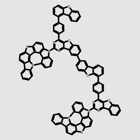 c1ccc2c(c1)oc1c(-c3ccc(-c4cccc5c4oc4ccc(-c6ccc7oc8c(-c9ccc(-c%10cccc%11oc%12ccccc%12c%10%11)cc9)nc(-n9c%10ccc%11sc%12ccc%13c%14ccccc%14n%14c%15cccc9c%15c%10c%11c%12c%13%14)nc8c7c6)cc45)cc3)nc(-n3c4ccc5sc6ccc7c8ccccc8n8c9cccc3c9c4c5c6c78)nc12